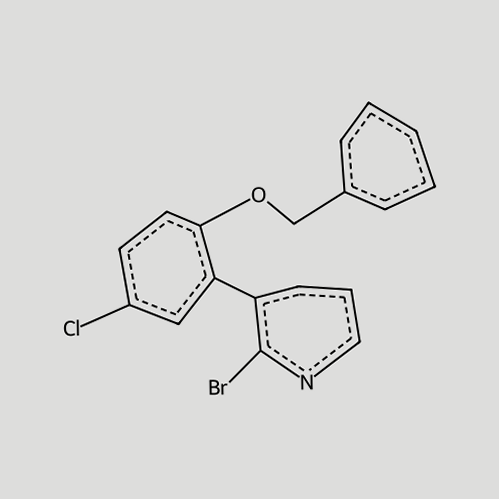 Clc1ccc(OCc2ccccc2)c(-c2cccnc2Br)c1